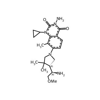 COC[C@H](N)[C@H]1CN(c2ccc3c(=O)n(N)c(=O)n(C4CC4)c3c2C)CC1(C)C